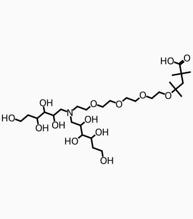 CC(C)(CC(C)(C)C(=O)O)OCCOCCOCCOCCN(CC(O)C(O)C(O)CCO)CC(O)C(O)C(O)CCO